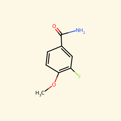 COc1ccc(C(N)=O)cc1F